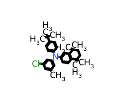 Cc1cc(Cl)cc(N(c2ccc(C(C)(C)C)cc2)c2ccc3c(c2)C(C)(C)CCC3(C)C)c1